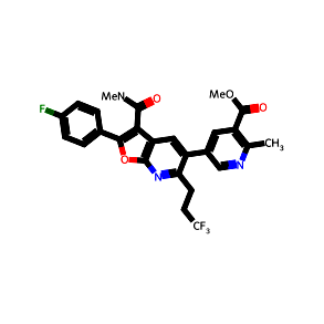 CNC(=O)c1c(-c2ccc(F)cc2)oc2nc(CCC(F)(F)F)c(-c3cnc(C)c(C(=O)OC)c3)cc12